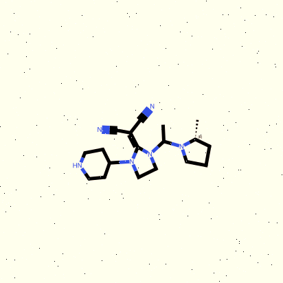 CC(N1CCN(C2CCNCC2)C1=C(C#N)C#N)N1CCC[C@H]1C